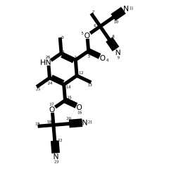 CC1=C(C(=O)OC(C)(C#N)C#N)C(C)C(C(=O)OC(C)(C#N)C#N)=C(C)N1